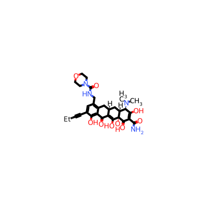 CCC#Cc1cc(CNC(=O)N2CCOCC2)c2c(c1O)C(=O)C1=C(O)[C@]3(O)C(=O)C(C(N)=O)=C(O)[C@@H](N(C)C)[C@@H]3C[C@@H]1C2